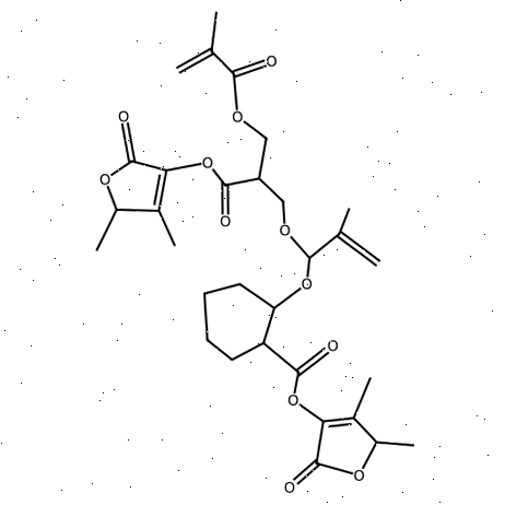 C=C(C)C(=O)OCC(COC(OC1CCCCC1C(=O)OC1=C(C)C(C)OC1=O)C(=C)C)C(=O)OC1=C(C)C(C)OC1=O